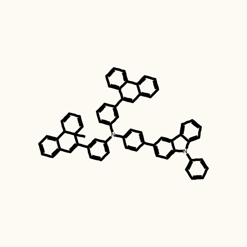 CC12C=CC=CC1c1ccccc1C=C2c1cccc(N(c2ccc(-c3ccc4c(c3)c3ccccc3n4-c3ccccc3)cc2)c2cccc(-c3cc4ccccc4c4ccccc34)c2)c1